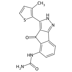 Cc1ccsc1-c1[nH]nc2c1C(=O)c1c(NC(N)=O)cccc1-2